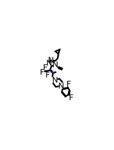 C#Cn1c(CC2CC2)nnc1/C(=C(\C)CN1CCN(c2ccc(F)cc2F)CC1)C(F)(F)F